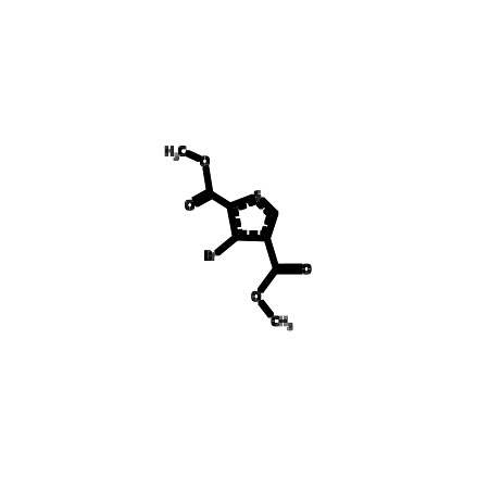 COC(=O)c1csc(C(=O)OC)c1Br